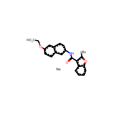 CCCCc1oc2ccccc2c1C(=O)Nc1ccc2cc(OCC(=O)O)ccc2c1.[Na]